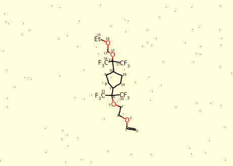 C=COCCOC(C1CCC(C(OCOCC)(C(F)(F)F)C(F)(F)F)CC1)(C(F)(F)F)C(F)(F)F